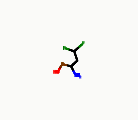 NC(CC(F)F)SO